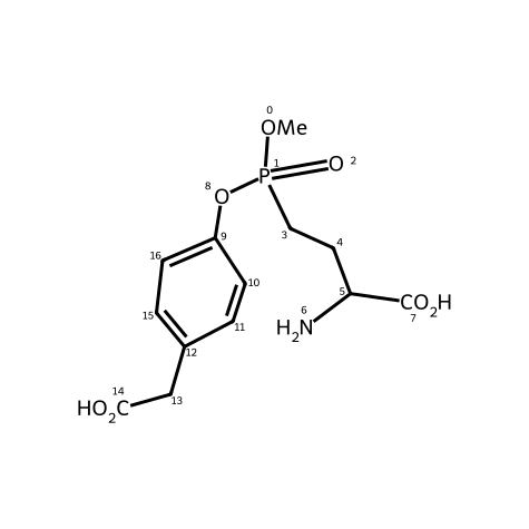 COP(=O)(CCC(N)C(=O)O)Oc1ccc(CC(=O)O)cc1